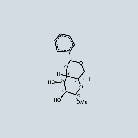 CO[C@H]1O[C@@H]2CO[C@@H](c3ccccc3)O[C@H]2[C@H](O)[C@@H]1O